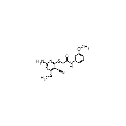 COc1cccc(NC(=O)CSc2nc(N)nc(SC)c2C#N)c1